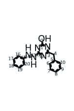 Oc1nc(Cc2ccccc2)nc(NNc2ccccc2)n1